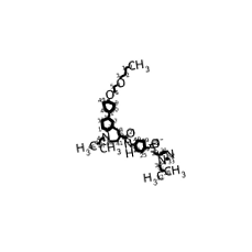 CCCCOCCOc1ccc(-c2ccc3c(c2)C=C(C(=O)Nc2ccc([S+]([O-])Cc4cncn4CC(C)C)cc2)CCN3CC(C)C)cc1